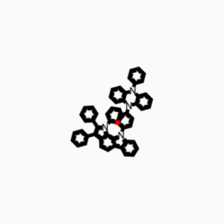 c1ccc(-c2c(-c3ccccc3)n(-c3ccccc3)c3c2ccc2c4ccccc4n(-c4ccc(N5c6ccccc6N(c6ccccc6)c6ccccc65)cc4)c23)cc1